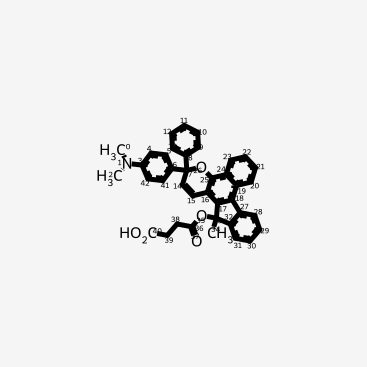 CN(C)c1ccc(C2(c3ccccc3)C=Cc3c4c(c5ccccc5c3O2)-c2ccccc2C4(C)OC(=O)CCC(=O)O)cc1